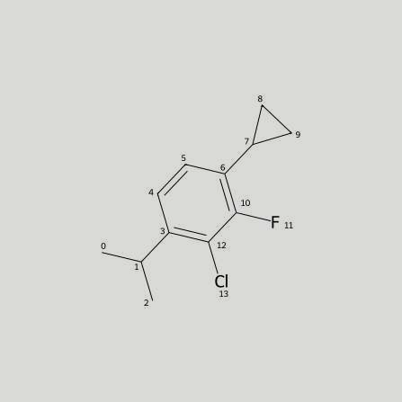 CC(C)c1ccc(C2CC2)c(F)c1Cl